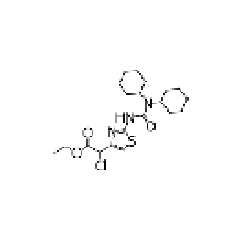 CCOC(=O)C(Cl)c1csc(NC(=O)N(C2CCCCC2)C2CCCCC2)n1